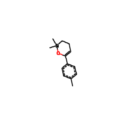 Cc1ccc(C2=CCC[Si](C)(C)O2)cc1